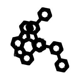 c1ccc(-c2cccc(-c3nc(-c4cccc(-c5ccccc5)c4)nc(-c4cccc5oc6ccc7c8ccccc8n(-c8ccccc8)c7c6c45)n3)c2)cc1